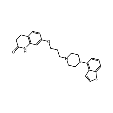 O=C1CCc2ccc(OCCCN3CCN(c4cccc5sccc45)CC3)cc2N1